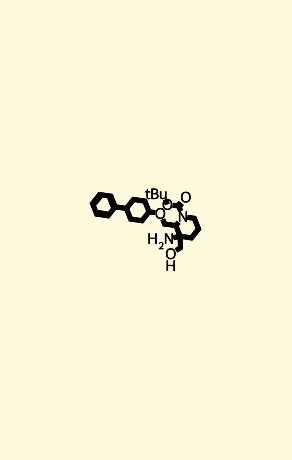 CC(C)(C)OC(=O)N1CCCC(N)(CO)C1COC1CCC(c2ccccc2)CC1